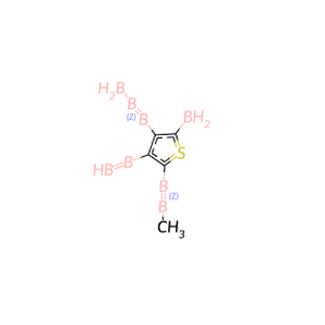 B=Bc1c(/B=B\C)sc(B)c1/B=B\B